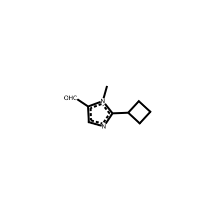 Cn1c(C=O)cnc1C1CCC1